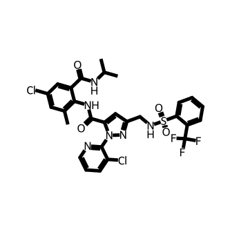 Cc1cc(Cl)cc(C(=O)NC(C)C)c1NC(=O)c1cc(CNS(=O)(=O)c2ccccc2C(F)(F)F)nn1-c1ncccc1Cl